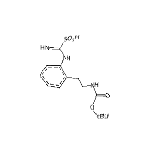 CC(C)(C)OC(=O)NCCc1ccccc1NC(=N)S(=O)(=O)O